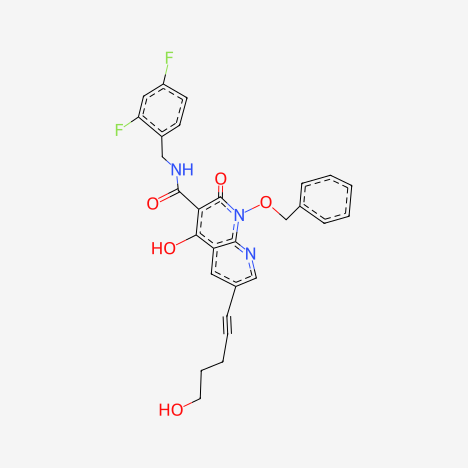 O=C(NCc1ccc(F)cc1F)c1c(O)c2cc(C#CCCCO)cnc2n(OCc2ccccc2)c1=O